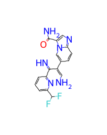 N=C(/C(=C\N)c1ccc2ncc(C(N)=O)n2c1)c1cccc(C(F)F)n1